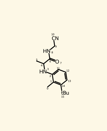 Cc1c(NC(C)C(=O)NCC#N)cccc1C(C)(C)C